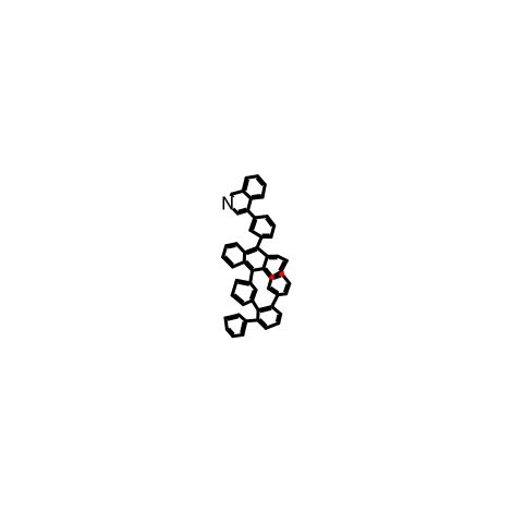 c1ccc(-c2cccc(-c3ccccc3)c2-c2cccc(-c3c4ccccc4c(-c4cccc(-c5cncc6ccccc56)c4)c4ccccc34)c2)cc1